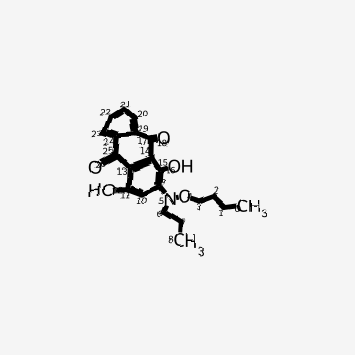 CCCCON(CCC)c1cc(O)c2c(c1O)C(=O)c1ccccc1C2=O